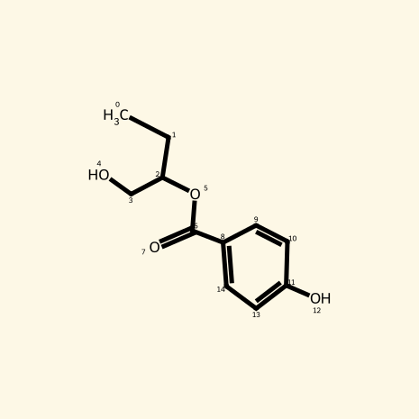 CCC(CO)OC(=O)c1ccc(O)cc1